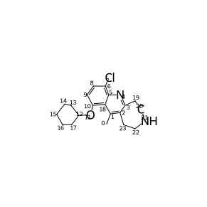 Cc1c2c(nc3c(Cl)ccc(OC4CCCCC4)c13)CCNCC2